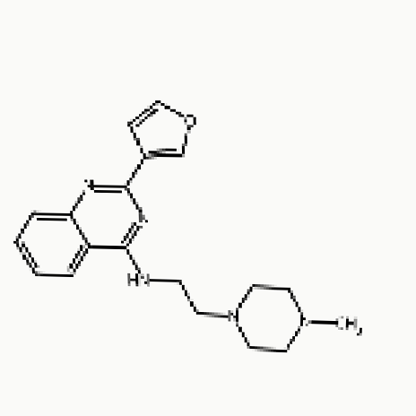 CN1CCN(CCNc2nc(-c3ccoc3)nc3ccccc23)CC1